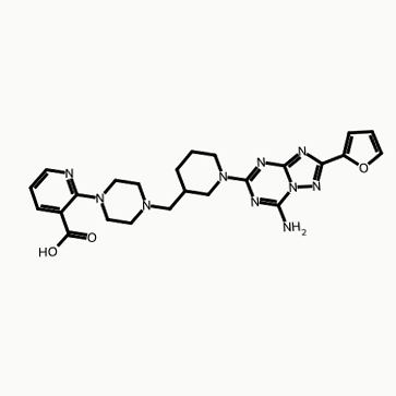 Nc1nc(N2CCCC(CN3CCN(c4ncccc4C(=O)O)CC3)C2)nc2nc(-c3ccco3)nn12